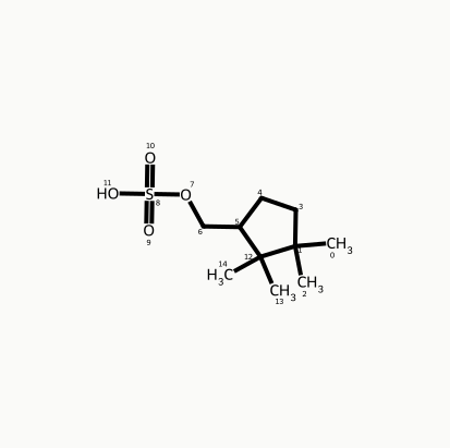 CC1(C)CCC(COS(=O)(=O)O)C1(C)C